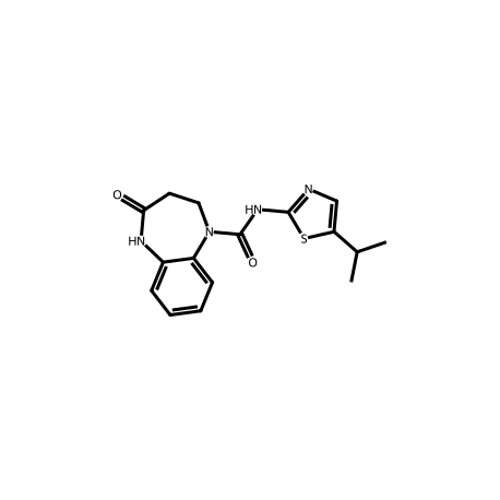 CC(C)c1cnc(NC(=O)N2CCC(=O)Nc3ccccc32)s1